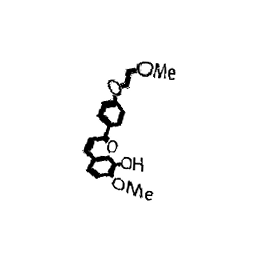 COCCOc1ccc(C(=O)/C=C\c2ccc(OC)c(O)c2)cc1